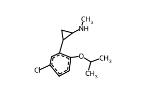 CNC1CC1c1cc(Cl)ccc1OC(C)C